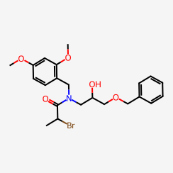 COc1ccc(CN(CC(O)COCc2ccccc2)C(=O)C(C)Br)c(OC)c1